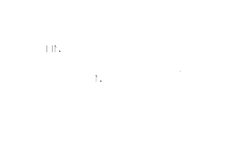 COc1ccc2c(c1)CN(C1CCNCC1)CC2